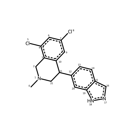 CN1Cc2c(Cl)cc(Cl)cc2C(c2ccc3cn[nH]c3c2)C1